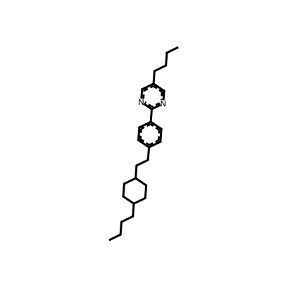 CCCCc1cnc(-c2ccc(CCC3CCC(CCCC)CC3)cc2)nc1